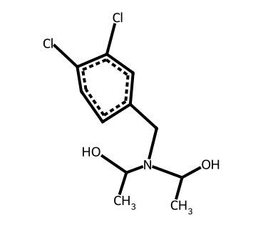 CC(O)N(Cc1ccc(Cl)c(Cl)c1)C(C)O